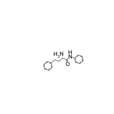 N[C@@H](CCc1ccccc1)C(=O)Nc1ccccc1